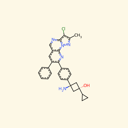 Cc1nn2c(ncc3cc(-c4ccccc4)c(-c4ccc([C@]5(N)C[C@@](O)(C6CC6)C5)cc4)nc32)c1Cl